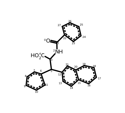 O=C(NC(C(=O)O)C(c1ccccc1)c1ccc2ccccc2c1)c1ccccc1